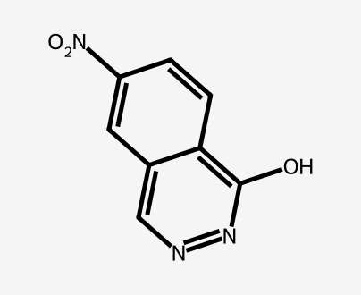 O=[N+]([O-])c1ccc2c(O)nncc2c1